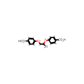 CCC(COc1ccc(C(=O)O)cc1)Oc1ccc(C(=O)O)cc1